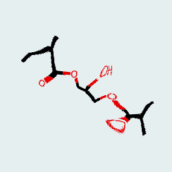 CCC(C)C(=O)OCC(O)COC(=O)C(C)C